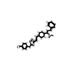 CN(C)C(CCc1ccccc1)C1CCC(/C=C/c2nc(Cc3ccc(Cl)cc3)no2)CC1